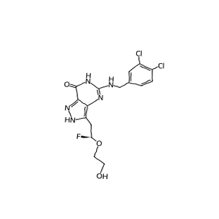 O=c1[nH]c(NCc2ccc(Cl)c(Cl)c2)nc2c(C[C@H](F)OCCO)[nH]nc12